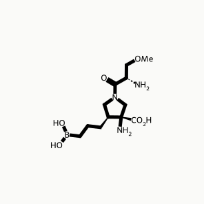 COC[C@H](N)C(=O)N1C[C@H](CCCB(O)O)[C@](N)(C(=O)O)C1